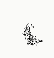 COC(=O)[C@H](CC(C)C)NP(=O)(N[C@@H](CC(C)C)C(=O)OC)OC[C@H]1O[C@@H](n2ccc(C)nc2=O)C(F)(F)[C@@H]1O